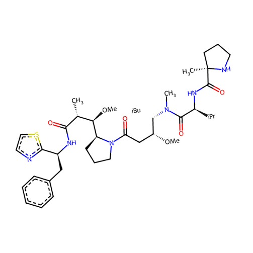 CC[C@H](C)[C@@H]([C@@H](CC(=O)N1CCC[C@H]1[C@H](OC)[C@@H](C)C(=O)N[C@@H](Cc1ccccc1)c1nccs1)OC)N(C)C(=O)[C@@H](NC(=O)[C@@]1(C)CCCN1)C(C)C